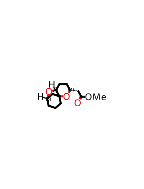 COC(=O)C[C@H]1CC[C@@H]2O[C@H]3CCCC2(C3)O1